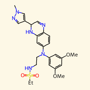 CCS(=O)(=O)NCCN(c1cc(OC)cc(OC)c1)c1ccc2c(c1)NC(c1cnn(C)c1)C=N2